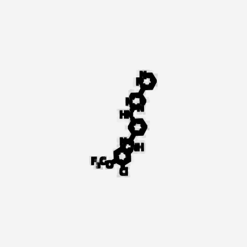 FC(F)(F)Oc1cc2nc(-c3cccc(Nc4ncc(-c5cccnn5)cn4)c3)[nH]c2cc1Cl